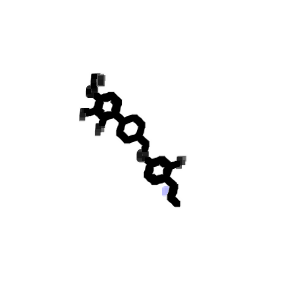 C/C=C/c1ccc(OCC2CCC(c3ccc(OCC)c(F)c3F)CC2)cc1F